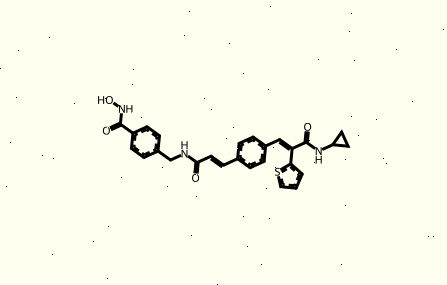 O=C(C=Cc1ccc(C=C(C(=O)NC2CC2)c2cccs2)cc1)NCc1ccc(C(=O)NO)cc1